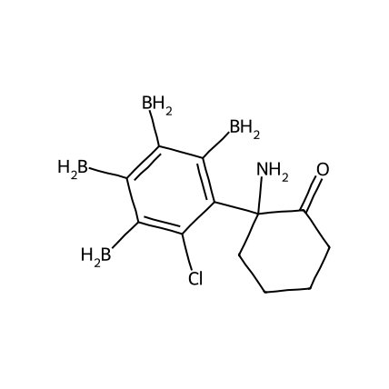 Bc1c(B)c(B)c(C2(N)CCCCC2=O)c(Cl)c1B